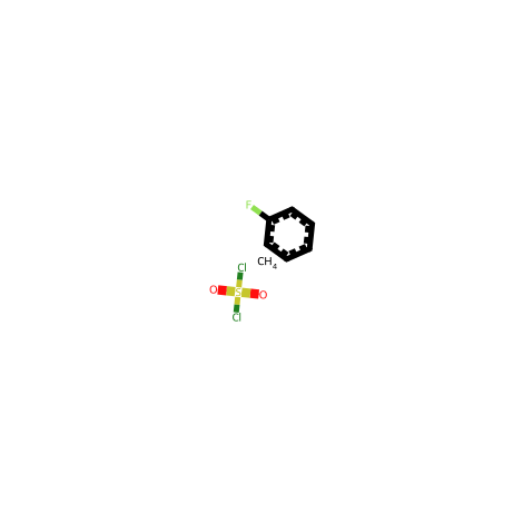 C.Fc1ccccc1.O=S(=O)(Cl)Cl